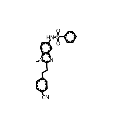 Cn1c(CCc2ccc(C#N)cc2)nc2cc(NS(=O)(=O)c3ccccc3)ccc21